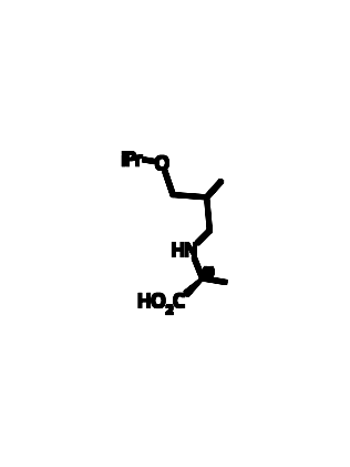 CC(CN[C@@H](C)C(=O)O)COC(C)C